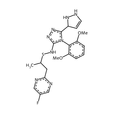 COc1cccc(OC)c1-n1c(NSC(C)Cc2ncc(F)cn2)nnc1C1C=CNN1